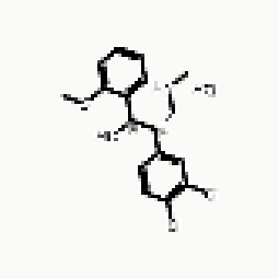 CNC[C@H](c1ccc(Cl)c(Cl)c1)[C@@H](O)c1ccccc1SC.Cl